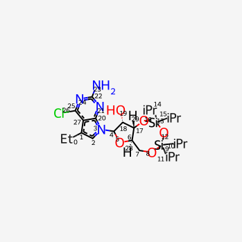 CCc1cn(C2O[C@@H]3CO[Si](C(C)C)(C(C)C)O[Si](C(C)C)(C(C)C)O[C@H]3[C@H]2O)c2nc(N)nc(Cl)c12